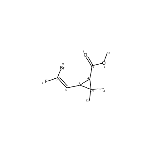 COC(=O)C1C(C=C(F)Br)C1(C)C